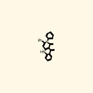 C=C1C2=C(C=C(C(C)C)N(c3ccccc3)C2=C)Nc2ccccc21